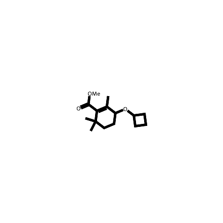 COC(=O)C1=C(C)C(OC2CCC2)CCC1(C)C